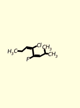 CC/C=C(Cl)\C(F)=C/C(C)C